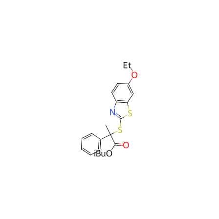 CCOc1ccc2nc(SC(C)(C(=O)OCC(C)C)c3ccccc3)sc2c1